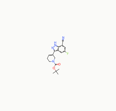 CC(C)(C)OC(=O)N1CCC=C(c2n[nH]c3c(C#N)cc(F)cc23)C1